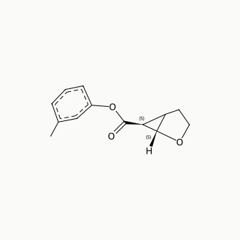 Cc1cccc(OC(=O)[C@H]2C3CCO[C@@H]32)c1